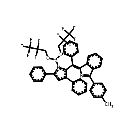 Cc1ccc(C2=N/C(=C(/c3ccccc3)c3c(-c4ccccc4)cc(-c4ccccc4)n3B(OCC(F)(F)C(F)(F)F)OCC(F)(F)C(F)(F)F)c3ccccc32)cc1